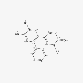 CC(C)n1nc(-c2nc(Br)c(N=O)nc2-c2ccccc2)ccc1=O